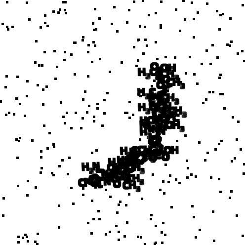 CC[C@H](CC[C@@]1(C)[C@H](C)CC[C@]2(C)[C@@H]1CC[C@@H]1C3=C(C(C)C)C(=O)C[C@]3([C@H](O)c3nnc(-c4ccc(Cl)c(CC(C)(CC(=O)O[C@H]5CC[C@]6(C)[C@H]7CC[C@@H]8C9=C(C(C)C)C(=O)C[C@]9([C@@H](O)c9nnc(-c%10ccc(Cl)cn%10)n9CCN)CC[C@@]8(C)[C@]7(C)CC[C@H]6C5(C)C)C(=O)O)c4)n3CCN)CC[C@]12C)OC(=O)CC(C)(C)C(=O)O